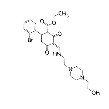 CCOC(=O)C1C(=O)C(=CNCCN2CCN(CCO)CC2)C(=O)CC1c1ccccc1Br